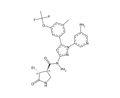 CC[C@H]1C(=O)NC[C@@H]1C(=O)N(P)c1cc(-c2cc(C)cc(OC(C)(F)F)c2)n(-c2cncc(P)c2)n1